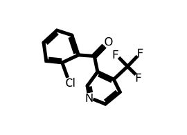 O=C(c1ccccc1Cl)c1cnccc1C(F)(F)F